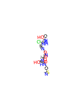 Cc1ncsc1-c1ccc(CNC(=O)[C@@H]2C[C@@H](O)CN2C(=O)[C@@H](c2cc(OCCN3CC[C@@H]([C@H](C)c4[nH]c5nnc(-c6ccccc6O)cc5c4Cl)C3)no2)C(C)C)cc1